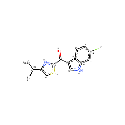 CC[C@@H](OC(C)=O)c1csc(C(=O)c2c[nH]c3cc(F)ccc23)n1